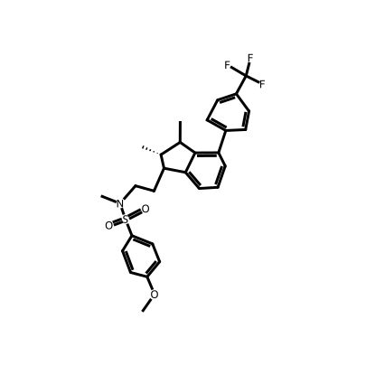 COc1ccc(S(=O)(=O)N(C)CCC2c3cccc(-c4ccc(C(F)(F)F)cc4)c3C(C)[C@H]2C)cc1